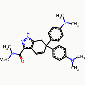 CON(C)C(=O)c1n[nH]c2c1C=CC(c1ccc(N(C)C)cc1)(c1ccc(N(C)C)cc1)C2